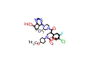 COC1CCC(N(C[C@@H](C(=O)N2CCN(c3ncnc4c3[C@H](C)C[C@H]4O)CC2)c2ccc(Cl)c(F)c2)C(=O)O)CC1